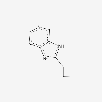 c1ncc2[nH]c(C3CCC3)nc2n1